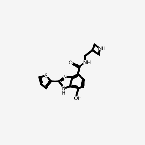 O=C(NCC1CNC1)c1ccc(O)c2[nH]c(-c3cccs3)nc12